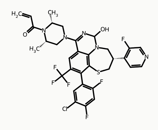 C=CC(=O)N1[C@H](C)CN(C2=NC(O)N3C[C@H](c4ccncc4F)CSc4c(-c5cc(Cl)c(F)cc5F)c(C(F)(F)F)cc2c43)C[C@@H]1C